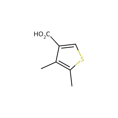 Cc1scc(C(=O)O)c1C